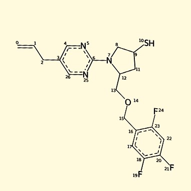 C=CCc1cnc(N2CC(S)CC2COCc2cc(F)c(F)cc2F)nc1